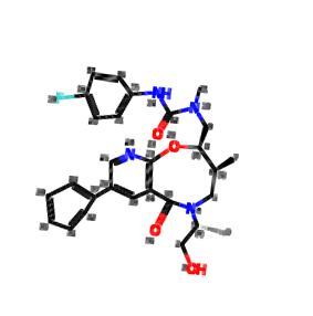 C[C@H](CO)N1C[C@H](C)[C@H](CN(C)C(=O)Nc2ccc(F)cc2)Oc2ncc(-c3ccccc3)cc2C1=O